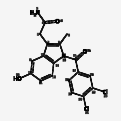 Cc1c(CC(N)=O)c2cc(O)ccc2n1C(=O)c1ccc(Cl)c(Cl)c1